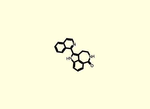 O=C1NCCc2c(-c3nccc4ccccc34)[nH]c3cccc1c23